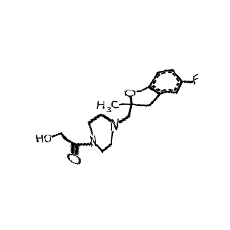 CC1(CN2CCN(C(=O)CO)CC2)Cc2cc(F)ccc2O1